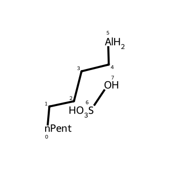 CCCCCCCC[CH2][AlH2].O=S(=O)(O)O